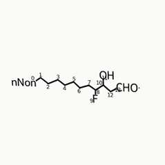 CCCCCCCCCCCCCCCCC(F)C(O)C[C]=O